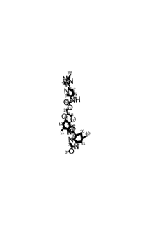 COc1cnc2c(-c3nc4c(C)cc5c(c4s3)OC[C@H](COC(=O)Nc3ccc(-n4cnc(C)n4)nc3)O5)cc(C)cc2n1